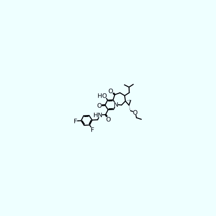 CCOC[C@H]1C[C@@]12Cn1cc(C(=O)NCc3ccc(F)cc3F)c(=O)c(O)c1C(=O)CC2CC(C)C